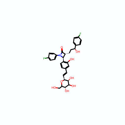 O=C1[C@H](CC[C@H](O)c2ccc(F)cc2)[C@@H](c2ccc(/C=C/[C@@H]3OC(CO)[C@@H](O)C(O)[C@@H]3O)cc2O)N1c1ccc(F)cc1